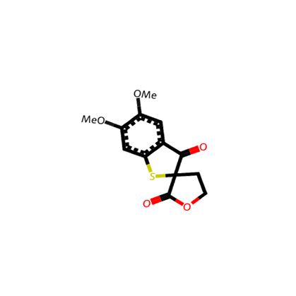 COc1cc2c(cc1OC)C(=O)C1(CCOC1=O)S2